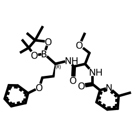 COCC(NC(=O)c1cccc(C)n1)C(=O)N[C@@H](CCOc1ccccc1)B1OC(C)(C)C(C)(C)O1